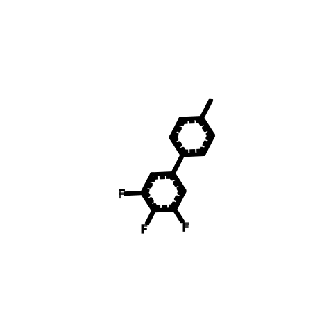 Cc1ccc(-c2cc(F)c(F)c(F)c2)cc1